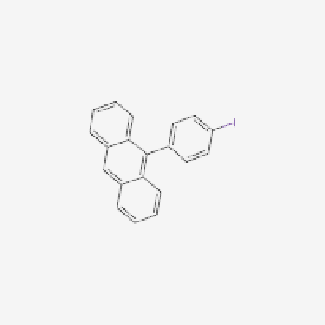 Ic1ccc(-c2c3ccccc3cc3ccccc23)cc1